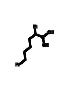 CCC(CCCCC(C)C)N(O)O